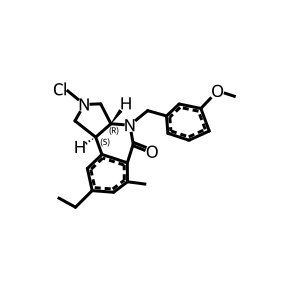 CCc1cc(C)c2c(c1)[C@H]1CN(Cl)C[C@@H]1N(Cc1cccc(OC)c1)C2=O